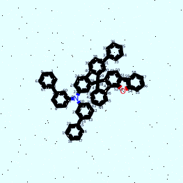 c1ccc(-c2cccc(N(c3cccc(-c4ccccc4)c3)c3ccc4c(c3)C3(c5cc(-c6ccccc6)ccc5-4)c4ccccc4-c4c3ccc3c4oc4ccccc43)c2)cc1